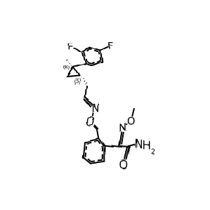 CON=C(C(N)=O)c1ccccc1CON=CC[C@@H]1C[C@@]1(C)c1ccc(F)cc1F